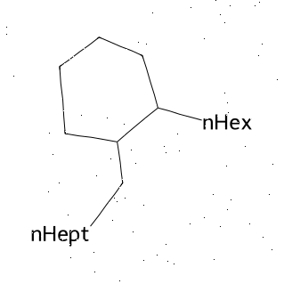 CCCCCCCCC1CCCCC1CCCCCC